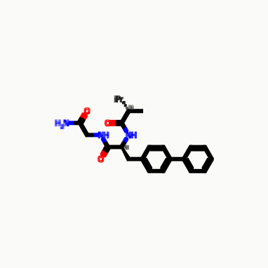 CC(C)[C@H](C)C(=O)N[C@@H](Cc1ccc(-c2ccccc2)cc1)C(=O)NCC(N)=O